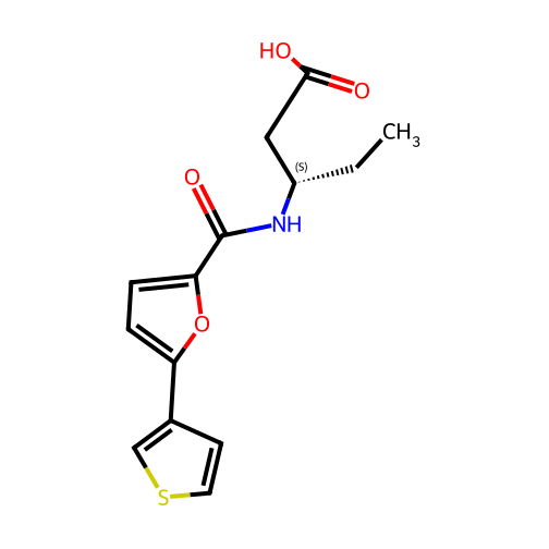 CC[C@@H](CC(=O)O)NC(=O)c1ccc(-c2ccsc2)o1